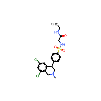 CN1Cc2c(Cl)cc(Cl)cc2C(c2ccc(S(=O)(=O)NCC(=O)NCC=O)cc2)C1